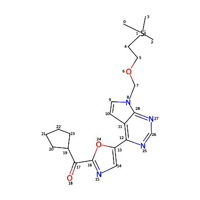 C[Si](C)(C)CCOCn1ccc2c(-c3cnc(C(=O)C4CCCC4)o3)ncnc21